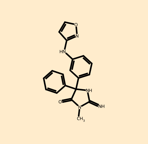 CN1C(=N)NC(c2ccccc2)(c2cccc(Nc3ccon3)c2)C1=O